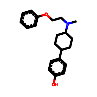 CN(CCOc1ccccc1)C1CCC(c2ccc(O)cc2)CC1